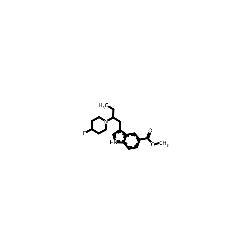 CCC(Cc1c[nH]c2ccc(C(=O)OC)cc12)N1CCC(F)CC1